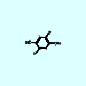 COc1cc(C(C)C)c(C=O)cc1Br